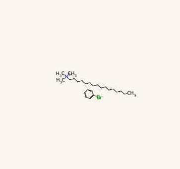 CCCCCCCCCCCCCCCC[N+](C)(C)C.Clc1ccccc1.[Br-]